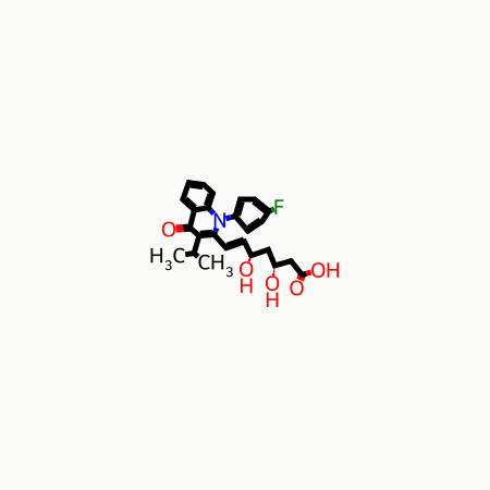 CC(C)c1c(C=C[C@@H](O)C[C@@H](O)CC(=O)O)n(-c2ccc(F)cc2)c2ccccc2c1=O